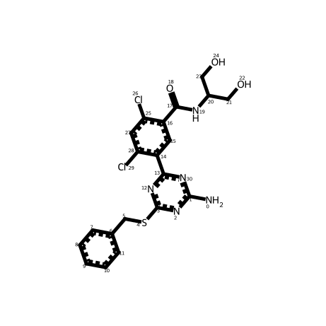 Nc1nc(SCc2ccccc2)nc(-c2cc(C(=O)NC(CO)CO)c(Cl)cc2Cl)n1